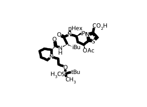 CCCCCCN(C(=O)[C@@H](NC(=O)[C@H]1CCCCN1CCO[Si](C)(C)C(C)(C)C)[C@@H](C)CC)[C@H](C[C@@H](OC(C)=O)c1nc(C(=O)O)cs1)C(C)C